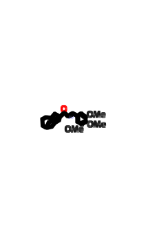 COc1cc(/C=C/C(=O)C23CC4CCCC(C2)C(C4)C3)cc(OC)c1OC